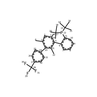 Cc1cc(C)c(-c2ccccc2P(C(C)(C)C)C(C)(C)C)c(C)c1-c1ccc(C(F)(F)F)cc1